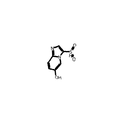 O=[SH](=O)c1cnc2ccc(O)cn12